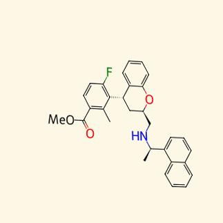 COC(=O)c1ccc(F)c([C@H]2C[C@H](CN[C@H](C)c3cccc4ccccc34)Oc3ccccc32)c1C